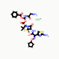 CC1(C)S[C@@H]2[C@@H](NC(=O)/C(=N\OC3CCCC3)c3csc(N)n3)C(=O)N2[C@H]1C(=O)OC(NC(=O)CN)OC(=O)c1ccccc1.Cl